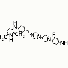 C=C1CCC(Nc2ccc(CCN3CCN(C4CCN(c5ccc(N)cc5F)CC4)CC3)cc2)C(=C)N1